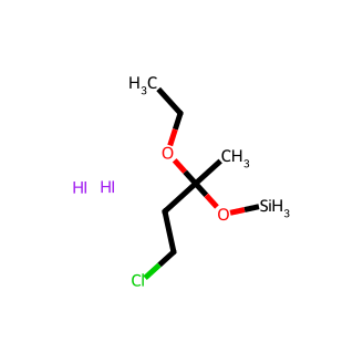 CCOC(C)(CCCl)O[SiH3].I.I